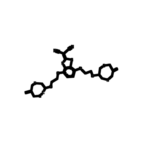 C=C1CSCC(OCCOc2ccc(OCCOC3CSCC(=C)CSC3)c3c2SC(=C(C#N)C#N)S3)CSC1